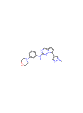 Cn1cc(-c2ccc3cnc(Nc4cccc(N5CCOCC5)c4)nn23)cn1